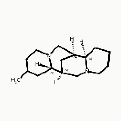 CC1CCN2C[C@@H]3C[C@@H](CN4CCCC[C@H]34)[C@@H]2C1